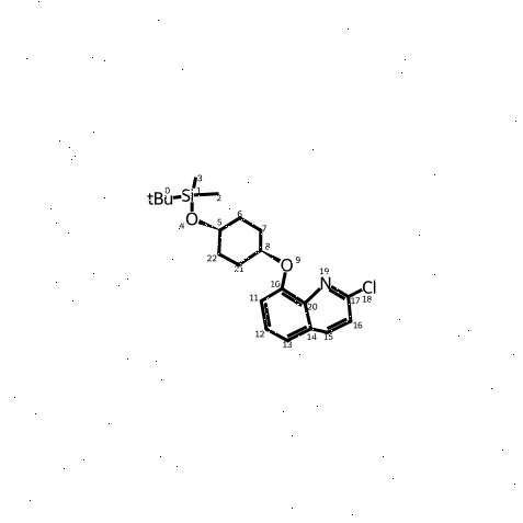 CC(C)(C)[Si](C)(C)O[C@H]1CC[C@@H](Oc2cccc3ccc(Cl)nc23)CC1